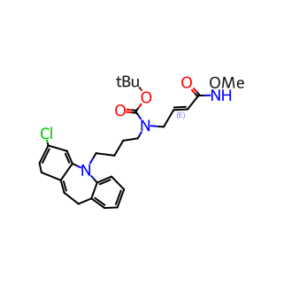 CONC(=O)/C=C/CN(CCCCN1C2=CC(Cl)=CCC2=CCc2ccccc21)C(=O)OC(C)(C)C